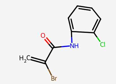 C=C(Br)C(=O)Nc1ccccc1Cl